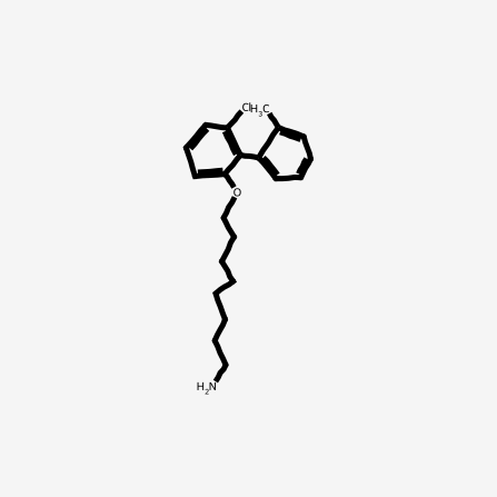 Cc1ccccc1-c1c(Cl)cccc1OCCCCCCCCN